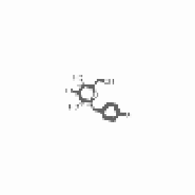 OC[C@H]1O[C@@H](Cc2ccc(Br)cc2)[C@H](O)[C@@H](O)[C@@H]1O